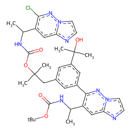 CC(NC(=O)OC(C)(C)Cc1cc(-c2nn3ccnc3cc2C(C)NC(=O)OC(C)(C)C)cc(C(C)(C)O)c1)c1cc2nccn2nc1Cl